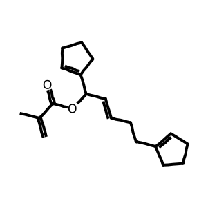 C=C(C)C(=O)OC(C=CCCC1=CCCC1)C1=CCCC1